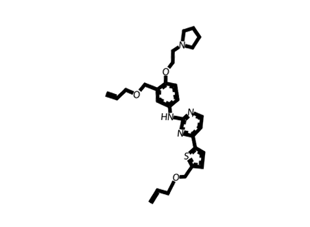 C=CCOCc1ccc(-c2ccnc(Nc3ccc(OCCN4CCCC4)c(COCC=C)c3)n2)s1